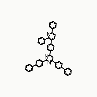 c1ccc(-c2ccc(-c3cc(-c4ccc(-c5ccc(-c6ccccc6)nc5-c5ccccc5)cc4)nc(-c4ccc(-c5ccccc5)cc4)n3)cc2)cc1